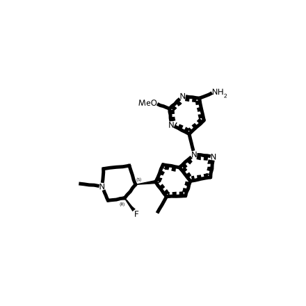 COc1nc(N)cc(-n2ncc3cc(C)c([C@@H]4CCN(C)C[C@@H]4F)cc32)n1